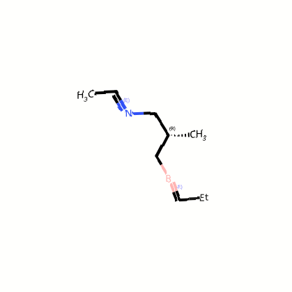 C/C=N/C[C@H](C)C/B=C/CC